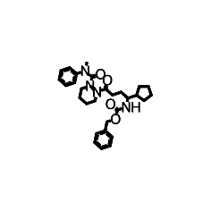 CN(C(=O)N1CCCCN1C(=O)CCC(NC(=O)OCc1ccccc1)C1CCCC1)c1ccccc1